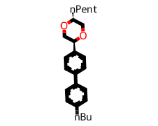 CCCCC[C@@H]1CO[C@@H](c2ccc(-c3ccc(CCCC)cc3)cc2)CO1